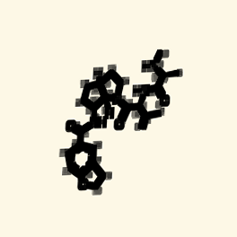 C=C(C)[C@H](NC(=O)[C@H](C)NC)C(=O)N1CC[C@H]2CC[C@H](NC(=O)c3ccc4c(c3)CCO4)[C@H]21